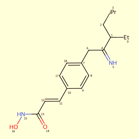 CCC(CC(C)C)C(=N)Cc1ccc(/C=C/C(=O)NO)cc1